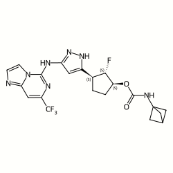 O=C(NC12CC(C1)C2)O[C@H]1CC[C@@H](c2cc(Nc3nc(C(F)(F)F)cc4nccn34)n[nH]2)[C@@H]1F